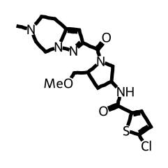 COCC1CC(NC(=O)c2ccc(Cl)s2)CN1C(=O)c1cc2n(n1)CCN(C)CC2